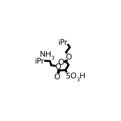 CC(C)CCOC(=O)CC(C(=O)OCCC(C)C)S(=O)(=O)O.N